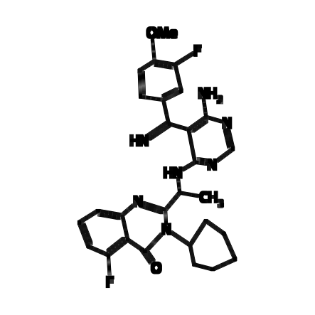 COc1ccc(C(=N)c2c(N)ncnc2NC(C)c2nc3cccc(F)c3c(=O)n2C2CCCCC2)cc1F